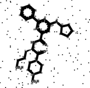 O=C(O)CCC[C@H](NC(=O)c1cc(OC2CCCC2)nc(-c2ccccc2)n1)C(=O)N1CCN(C(=O)O)CC1